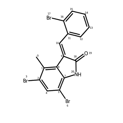 Cc1c(Br)cc(Br)c2c1C(=Cc1ccccc1Br)C(=O)N2